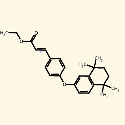 CCOC(=O)/C=C/c1ccc(Oc2ccc3c(c2)C(C)(C)CCC3(C)C)cc1